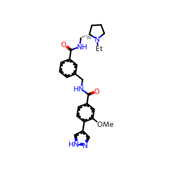 CCN1CCC[C@H]1CNC(=O)c1cccc(CNC(=O)c2ccc(-c3cn[nH]c3)c(OC)c2)c1